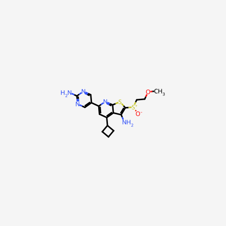 COCC[S@@+]([O-])c1sc2nc(-c3cnc(N)nc3)cc(C3CCC3)c2c1N